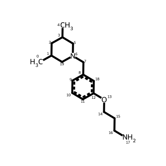 CC1CC(C)CN(Cc2cccc(OCCCN)c2)C1